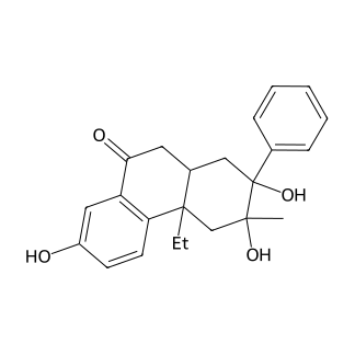 CCC12CC(C)(O)C(O)(c3ccccc3)CC1CC(=O)c1cc(O)ccc12